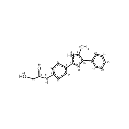 Cc1[nH]c(-c2ccc(NC(=O)CO)cc2)nc1-c1ccccc1